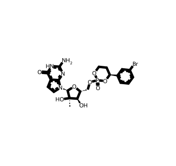 C[C@@]1(O)[C@H](O)[C@@H](COP2(=O)OCC[C@@H](c3cccc(Br)c3)O2)O[C@H]1n1ccc2c(=O)[nH]c(N)nc21